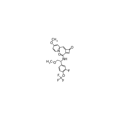 COCC(NC(=O)C1=CC(=O)C1=Cc1cc(OC)ccn1)c1ccc(OC(F)(F)F)c(F)c1